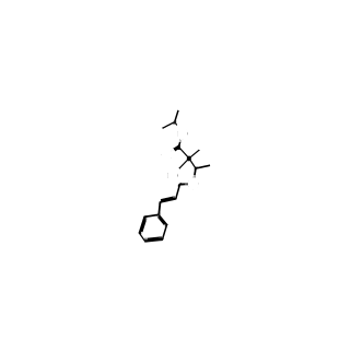 CC(C)OC(=O)C(C)(C)C(C)OC(=O)/C=C/c1ccccc1